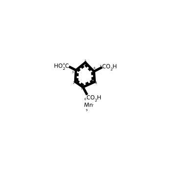 O=C(O)c1cc(C(=O)O)cc(C(=O)O)c1.[Mn]